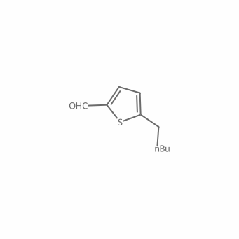 CCCCCc1ccc(C=O)s1